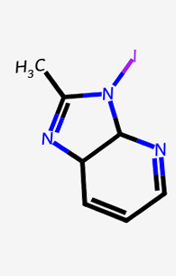 CC1=NC2C=CC=NC2N1I